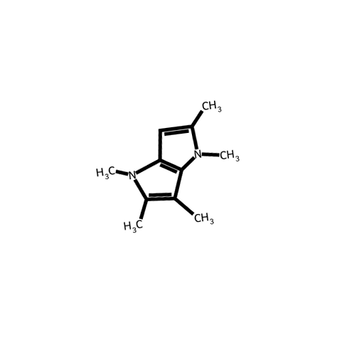 Cc1c(C)n(C)c2cc(C)n(C)c12